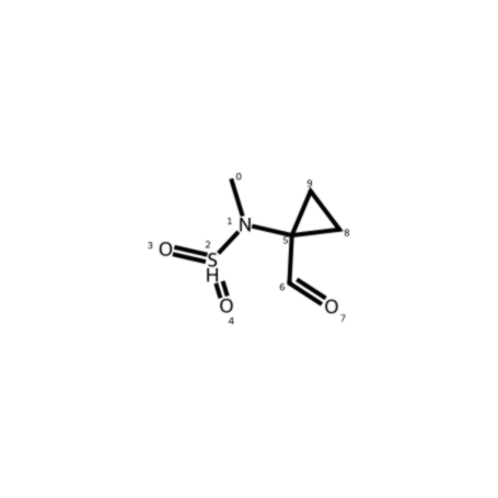 CN([SH](=O)=O)C1(C=O)CC1